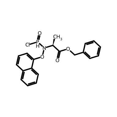 C[C@@H](C(=O)OCc1ccccc1)N(Oc1cccc2ccccc12)[PH](=O)Cl